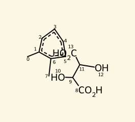 Cc1ccccc1C.O=C(O)C(O)C(O)C(=O)O